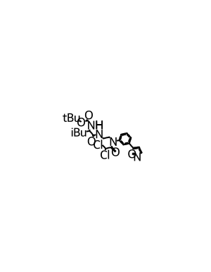 CCC(C)C(NC(=O)OC(C)(C)C)C(=O)NCCN(C(=O)C(Cl)Cl)c1cccc(-c2ccno2)c1